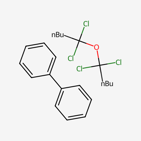 CCCCC(Cl)(Cl)OC(Cl)(Cl)CCCC.c1ccc(-c2ccccc2)cc1